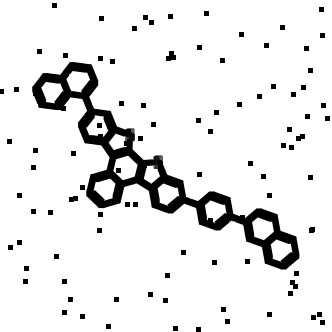 c1ccc2cc(-c3ccc(-c4ccc5c(c4)sc4c6sc7cc(-c8cccc9ccccc89)ccc7c6c6ccccc6c54)cc3)ccc2c1